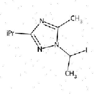 Cc1nc(C(C)C)nn1C(C)I